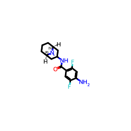 CN1[C@@H]2CCC[C@H]1CC(NC(=O)c1cc(F)c(N)cc1F)C2